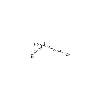 OCCOCCOCCOCC(O)C(CO)OCCOCCO